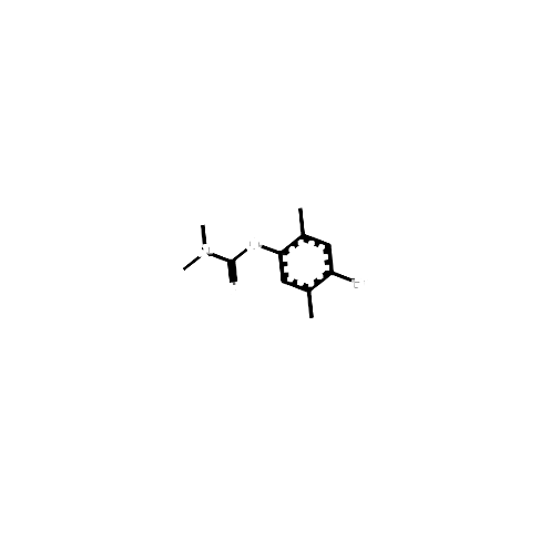 Cc1cc(OC(=S)N(C)C)c(C)cc1Br